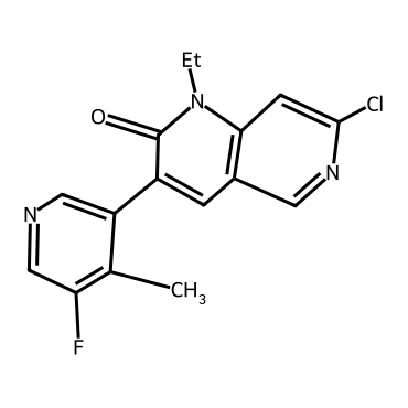 CCn1c(=O)c(-c2cncc(F)c2C)cc2cnc(Cl)cc21